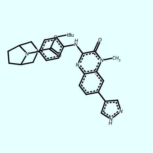 Cn1c(=O)c(Nc2ccc(N3C4CCC3CN(C(=O)OC(C)(C)C)C4)cc2)nc2ccc(-c3cn[nH]c3)cc21